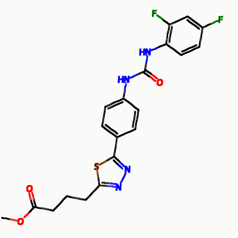 COC(=O)CCCc1nnc(-c2ccc(NC(=O)Nc3ccc(F)cc3F)cc2)s1